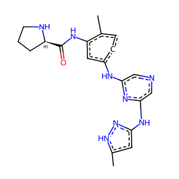 Cc1cc(Nc2cncc(Nc3ccc(C)c(NC(=O)[C@H]4CCCN4)c3)n2)n[nH]1